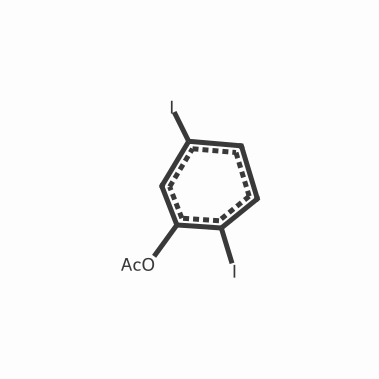 CC(=O)Oc1cc(I)ccc1I